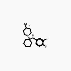 NC1CCN(C2(Nc3ccc(F)c(Cl)c3)C[CH]CCC2)CC1